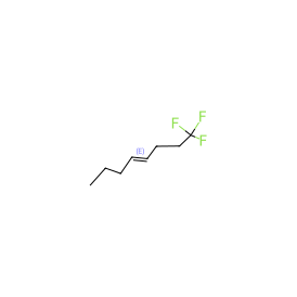 CCC/C=C/CCC(F)(F)F